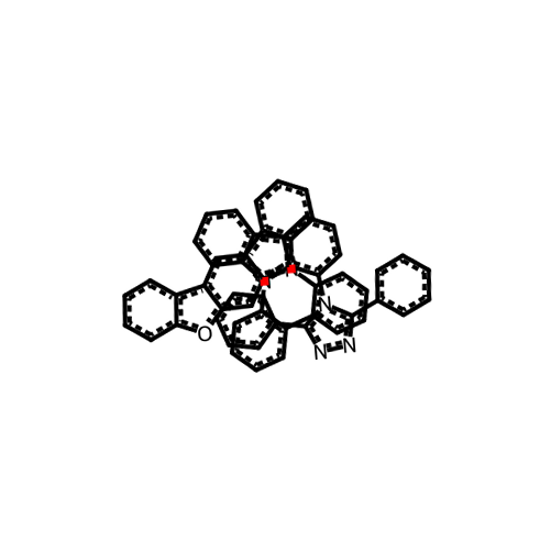 c1ccc(-c2nnc(-c3ccccc3)n2-c2cccc3c4ccccc4n(-c4ccccc4-c4ccccc4-n4c5ccccc5c5cc6c(cc54)oc4ccccc46)c23)cc1